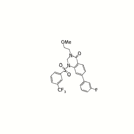 COCCN1CN(S(=O)(=O)c2cccc(C(F)(F)F)c2)c2cc(-c3cccc(F)c3)ccc2C1=O